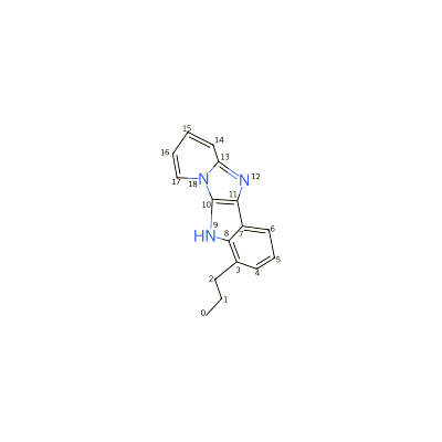 CCCc1cccc2c1[nH]c1c2nc2ccccn21